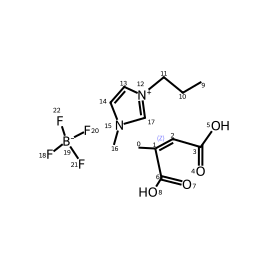 C/C(=C/C(=O)O)C(=O)O.CCC[n+]1ccn(C)c1.F[B-](F)(F)F